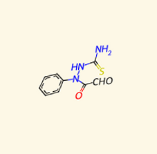 NC(=S)NN(C(=O)C=O)c1ccccc1